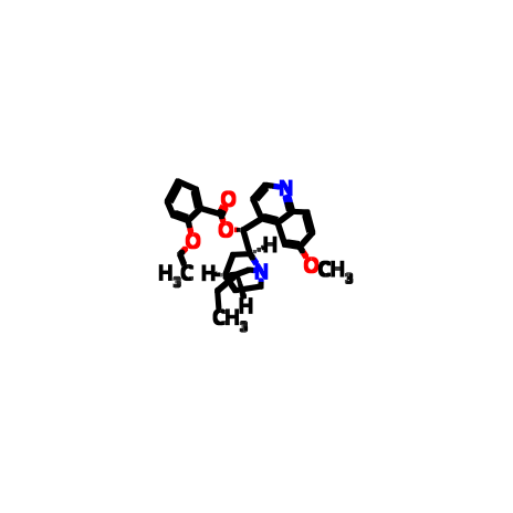 CCOc1ccccc1C(=O)O[C@H](c1ccnc2ccc(OC)cc12)[C@@H]1C[C@@H]2CCN1C[C@@H]2CC